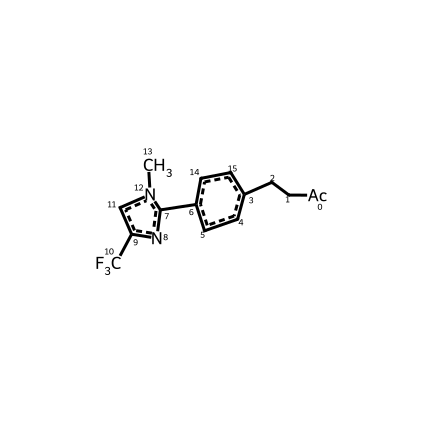 CC(=O)CCc1ccc(-c2nc(C(F)(F)F)cn2C)cc1